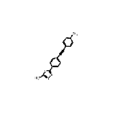 Cc1ccc(C#Cc2ccc(-c3nnc(C)o3)cc2)cc1